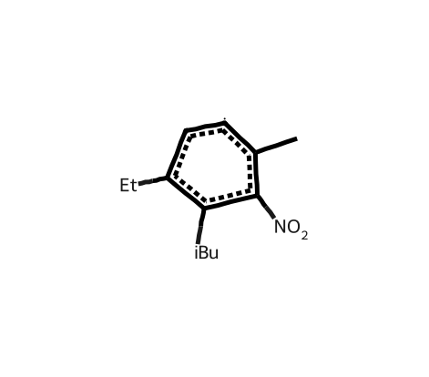 CCc1c[c]c(C)c([N+](=O)[O-])c1C(C)CC